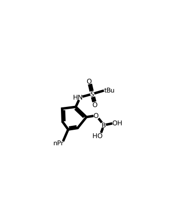 CCCc1ccc(NS(=O)(=O)C(C)(C)C)c(OB(O)O)c1